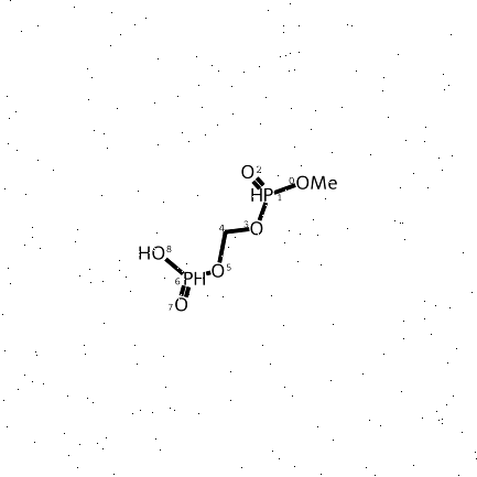 CO[PH](=O)OCO[PH](=O)O